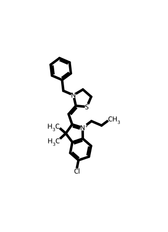 CCC[N+]1=C(/C=C2\SCCN2Cc2ccccc2)C(C)(C)c2cc(Cl)ccc21